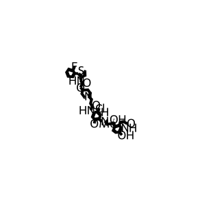 COc1cc(NC(=O)CCN2CCC(OC(=O)Nc3ccsc3-c3ccccc3F)CC2)c(Cl)cc1CNC[C@H](O)c1ccc(O)c2[nH]c(=O)ccc12